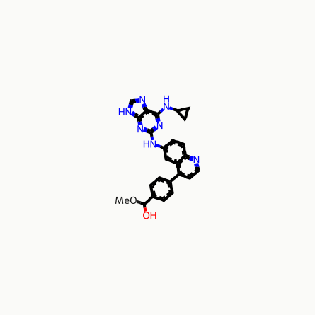 COC(O)c1ccc(-c2ccnc3ccc(Nc4nc(NC5CC5)c5nc[nH]c5n4)cc23)cc1